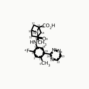 Cc1cc(F)c(NC(=O)N2C3CC(C)CC2(C(=O)O)C3)cc1-c1nccnn1